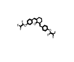 O=C1/C(=C\c2ccc(OC(F)=C(F)F)cc2)CCC/C1=C\c1ccc(OC(F)=C(F)F)cc1